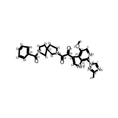 COc1cnc(-n2cnc(C)n2)c2[nH]cc(C(=O)C(=O)N3CCC4(CCN(C(=O)c5ccccc5)C4)C3)c12